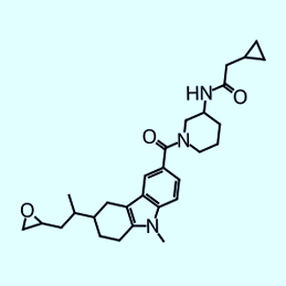 CC(CC1CO1)C1CCc2c(c3cc(C(=O)N4CCCC(NC(=O)CC5CC5)C4)ccc3n2C)C1